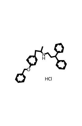 CC(Cc1ccc(OCc2ccccc2)cc1)NCCC(c1ccccc1)c1ccccc1.Cl